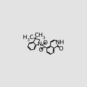 CC1(C)CN(S(=O)(=O)c2cccc3c(=O)[nH]ccc23)c2ccccc21